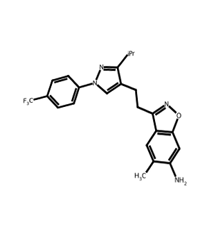 Cc1cc2c(CCc3cn(-c4ccc(C(F)(F)F)cc4)nc3C(C)C)noc2cc1N